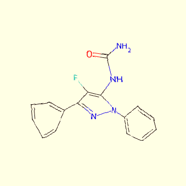 NC(=O)Nc1c(F)c(-c2ccccc2)nn1-c1ccccc1